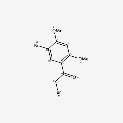 COc1cc(OC)c(C(=O)CBr)cc1Br